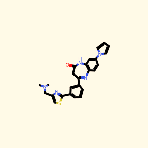 CN(C)Cc1csc(-c2cccc(C3=Nc4ccc(-n5cccc5)cc4NC(=O)C3)c2)n1